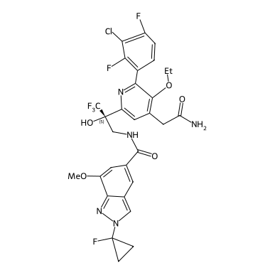 CCOc1c(CC(N)=O)cc([C@@](O)(CNC(=O)c2cc(OC)c3nn(C4(F)CC4)cc3c2)C(F)(F)F)nc1-c1ccc(F)c(Cl)c1F